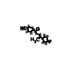 C/C(=C\CC(=O)c1ccc(C#N)cc1)c1ccc(F)cc1